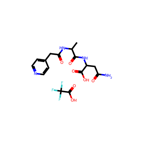 CC(NC(=O)Cc1ccncc1)C(=O)NC(CC(N)=O)C(=O)O.O=C(O)C(F)(F)F